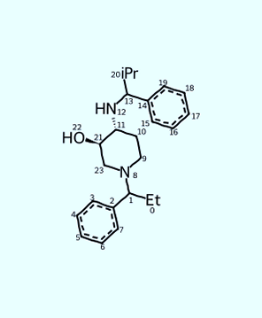 CCC(c1ccccc1)N1CC[C@@H](NC(c2ccccc2)C(C)C)[C@H](O)C1